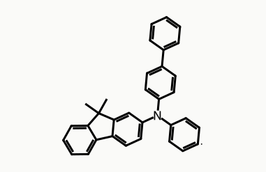 CC1(C)c2ccccc2-c2ccc(N(c3cc[c]cc3)c3ccc(-c4ccccc4)cc3)cc21